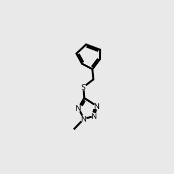 Cn1nnc(SCc2ccccc2)n1